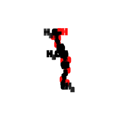 C=CC(=O)OCCCCOc1ccc(OC(=O)c2ccc3c(c2)C(C)c2cc(OCCOC(=O)C(=C)CO)ccc2-3)cc1